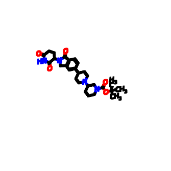 CC(C)(C)OC(=O)N1CCCC(N2CCC(c3ccc4c(c3)CN(C3CCC(=O)NC3=O)C4=O)CC2)C1